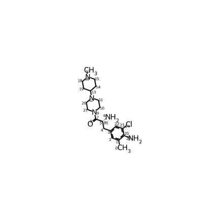 Cc1cc(C[C@@H](N)C(=O)N2CCN(C3CCN(C)CC3)CC2)cc(Cl)c1N